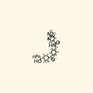 CCC[C@@H](O)c1ccc([S+]([O-])c2ccc(CNC(=O)c3cnc4nccn4c3)cc2)cc1